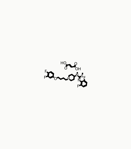 CSC(=Nc1c(F)cccc1F)N(C)C1CCN(CCCCOc2ccc(F)c(F)c2)CC1.O=C(O)/C=C/C(=O)O